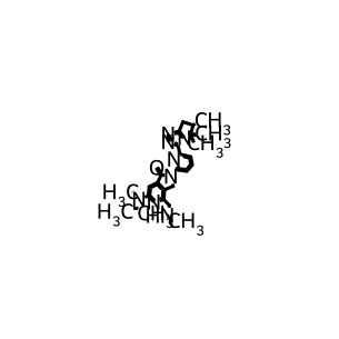 CNCc1nc(N(C)C(C)C)cc2c1CN(c1cccc(-c3nnc4n3C(C)(C)C(C)C4)n1)C2=O